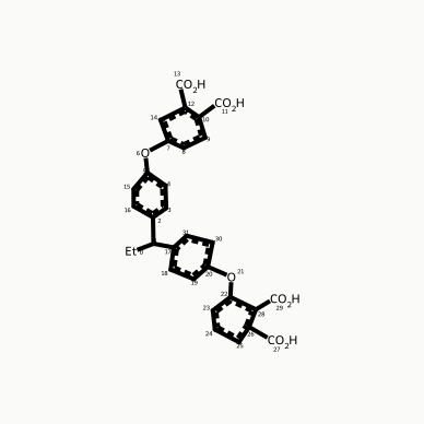 CCC(c1ccc(Oc2ccc(C(=O)O)c(C(=O)O)c2)cc1)c1ccc(Oc2cccc(C(=O)O)c2C(=O)O)cc1